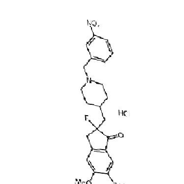 COc1cc2c(cc1OC)C(=O)C(F)(CC1CCN(Cc3cccc([N+](=O)[O-])c3)CC1)C2.Cl